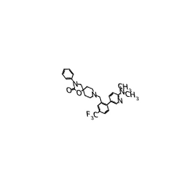 CN(C)c1ccc(-c2ccc(C(F)(F)F)cc2CN2CCC3(CC2)CN(c2ccccc2)C(=O)O3)cn1